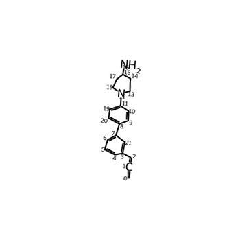 C=C=Cc1cccc(-c2ccc(N3CCC(N)CC3)cc2)c1